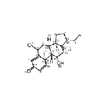 CC[C@H]1CC[C@H]2[C@@H]3CC(Cl)C4=CC(=O)C=C[C@]4(C)[C@H]3C(O)C[C@]12C